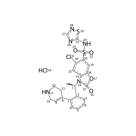 C[C@H](c1ccccc1C1=CCNCC1)n1c(=O)oc2cc(S(=O)(=O)Nc3ncns3)c(Cl)cc21.Cl